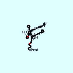 CCCCC/C=C\C/C=C\C/C=C\C/C=C\CCCC(=O)N[C@@H](CO[C@H]1OC(COCCOCCOCCOCCN=[N+]=[N-])[C@H](OCc2ccccc2)[C@H](C)C1OCc1ccccc1)[C@H](O)[C@@H](O)CCCCCCCc1ccccc1